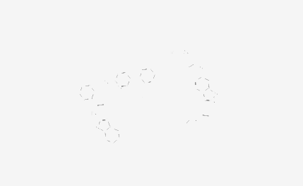 Cc1c(OCC[C@@H]2CCN(CC(=O)Nc3ccc4c(C5CCC(=O)NC5=O)nn(C)c4c3)C2)cccc1-c1ccc(N2CCc3cccc(C(=O)Nc4nc5ccccc5s4)c3C2)nc1C(=O)O